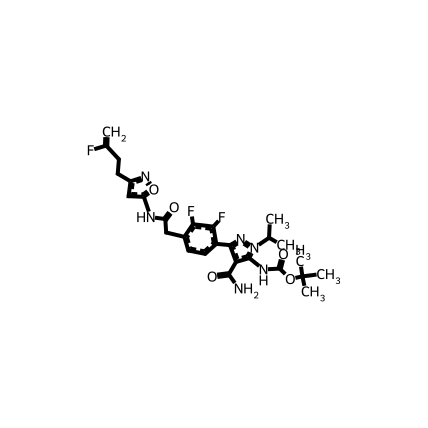 C=C(F)CCc1cc(NC(=O)Cc2ccc(-c3nn(C(C)C)c(NC(=O)OC(C)(C)C)c3C(N)=O)c(F)c2F)on1